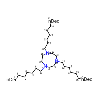 CCCCCCCCCCCCCCCCN1CCN(CCCCCCCCCCCCCCCC)CCN(CCCCCCCCCCCCCCCC)CC1